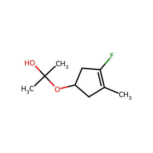 CC1=C(F)CC(OC(C)(C)O)C1